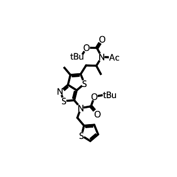 CC(=O)N(C(=O)OC(C)(C)C)C(C)Cc1sc2c(N(Cc3cccs3)C(=O)OC(C)(C)C)snc2c1C